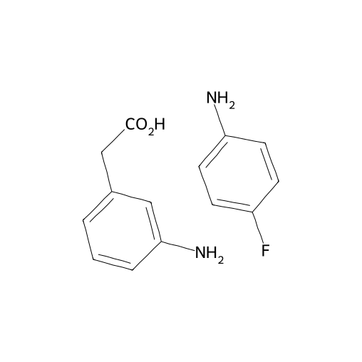 Nc1ccc(F)cc1.Nc1cccc(CC(=O)O)c1